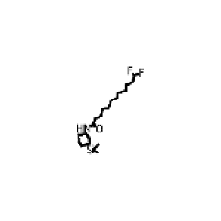 C[Si](C)(C)c1cccc(NC(=O)CCCCCCCCCC=C(F)F)c1